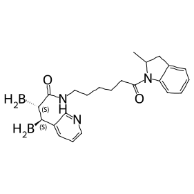 B[C@H](C(=O)NCCCCCC(=O)N1c2ccccc2CC1C)[C@H](B)c1cccnc1